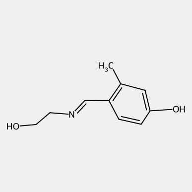 Cc1cc(O)ccc1C=NCCO